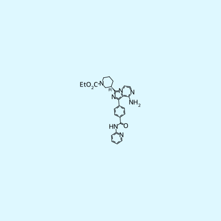 CCOC(=O)N1CCC[C@@H](c2nc(-c3ccc(C(=O)Nc4ccccn4)cc3)c3c(N)nccn23)C1